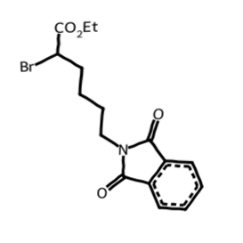 CCOC(=O)C(Br)CCCCN1C(=O)c2ccccc2C1=O